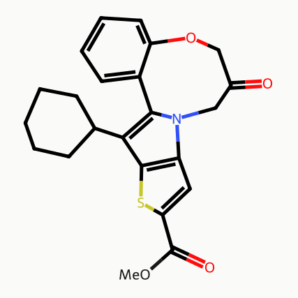 COC(=O)c1cc2c(s1)c(C1CCCCC1)c1n2CC(=O)COc2ccccc2-1